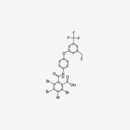 O=C(O)c1c(Br)c(Br)c(Br)c(Br)c1C(=O)Nc1ccc(Oc2cc(CF)cc(C(F)(F)F)c2)cc1